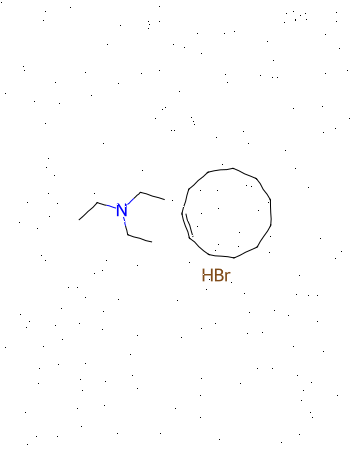 Br.C1=CCCCCCCCCC1.CCN(CC)CC